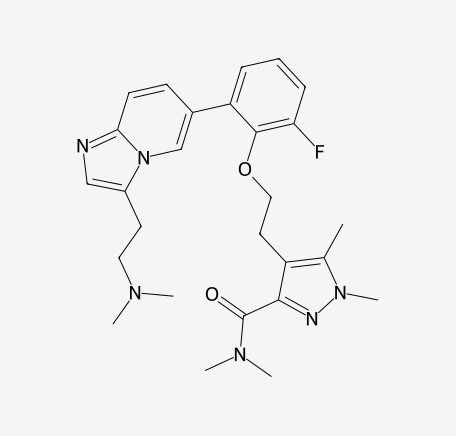 Cc1c(CCOc2c(F)cccc2-c2ccc3ncc(CCN(C)C)n3c2)c(C(=O)N(C)C)nn1C